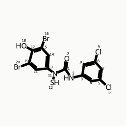 O=C(Nc1cc(Cl)cc(Cl)c1)N(S)c1cc(Br)c(O)c(Br)c1